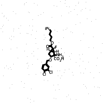 CC(C)CCCCOC(=O)[C@@]1(F)[C@@H]2C[C@@H](OCc3ccc(Cl)c(Cl)c3)[C@@](N)(C(=O)O)[C@@H]21